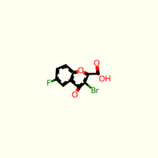 O=C(O)c1oc2ccc(F)cc2c(=O)c1Br